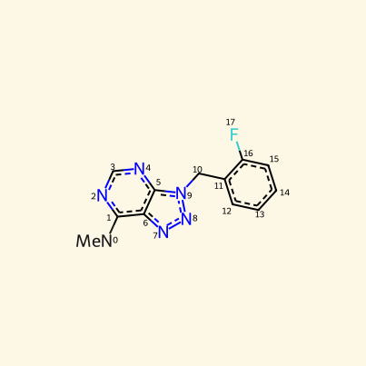 CNc1ncnc2c1nnn2Cc1ccccc1F